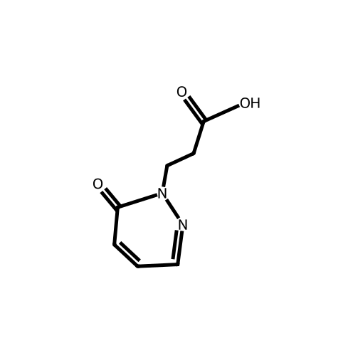 O=C(O)CCn1ncccc1=O